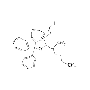 CCCCC(C)C(CC=CI)OC(c1ccccc1)(c1ccccc1)c1ccccc1